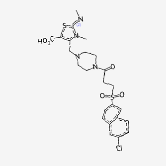 C/N=c1\sc(C(=O)O)c(CN2CCN(C(=O)CCS(=O)(=O)c3ccc4cc(Cl)ccc4c3)CC2)n1C